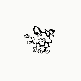 COC(=O)C1C[C@@H](Oc2cc(-c3ccccn3)nc3ccsc23)CN1C(=O)[C@@H](NC(=O)OC(C)(C)C)C(C)(C)C